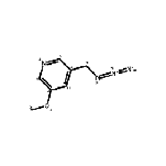 COc1cncc(CN=[N+]=[N-])c1